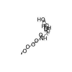 C#CCOCCOCCOCCOCCNC(=O)CCC(C)[C@H]1CC[C@H]2[C@@H]3CC=C4C[C@@H](O)CC[C@]4(C)[C@H]3CC[C@]12C